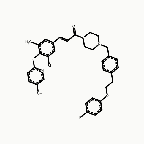 Cc1cc(C=CC(=O)N2CCN(Cc3ccc(CCOc4ccc(F)cc4)cc3)CC2)cc(Cl)c1Oc1ccc(O)cn1